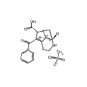 CS(=O)(=O)[O-].O=C(O)C1C(C(=O)[n+]2ccccc2)=C2SCN[C@H]3CN1[C@H]23